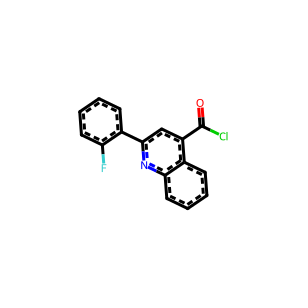 O=C(Cl)c1cc(-c2ccccc2F)nc2ccccc12